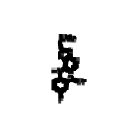 CNCc1nc2c(Nc3ccc(F)cc3OC(C)C)ncnc2s1